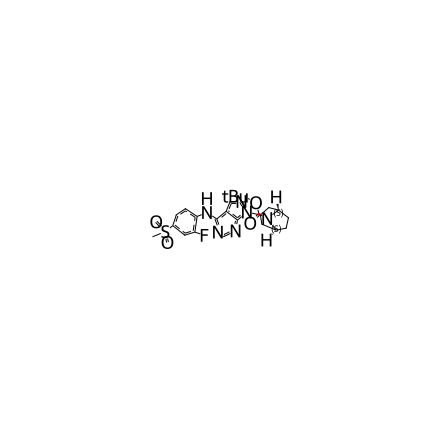 CC(C)(C)OC(=O)N1[C@H]2CC[C@H]1CC(n1ncc3c(Nc4ccc(S(C)(=O)=O)cc4F)ncnc31)C2